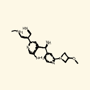 CN/C=C(\C=N)c1cc(C(=N)c2ccnc(N3CC(OC)C3)c2)c(N)cn1